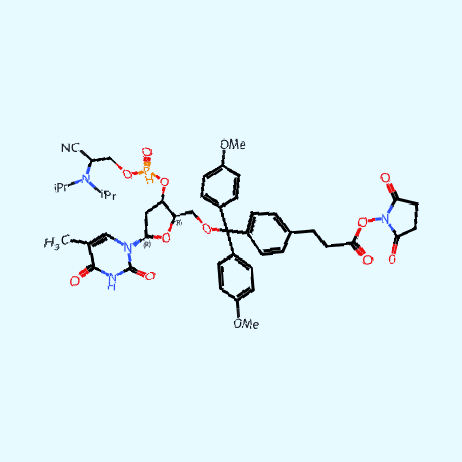 COc1ccc(C(OC[C@H]2O[C@@H](n3cc(C)c(=O)[nH]c3=O)CC2O[PH](=O)OCC(C#N)N(C(C)C)C(C)C)(c2ccc(CCC(=O)ON3C(=O)CCC3=O)cc2)c2ccc(OC)cc2)cc1